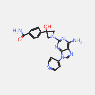 NC(=O)c1ccc(C2(O)CN(c3nc(N)c4ncn(-c5ccncc5)c4n3)C2)cc1